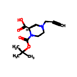 C#CCN1CCN(C(=O)OC(C)(C)C)[C@H](C(=O)O)C1